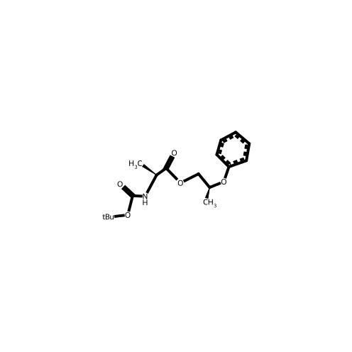 C[C@H](NC(=O)OC(C)(C)C)C(=O)OC[C@H](C)Oc1ccccc1